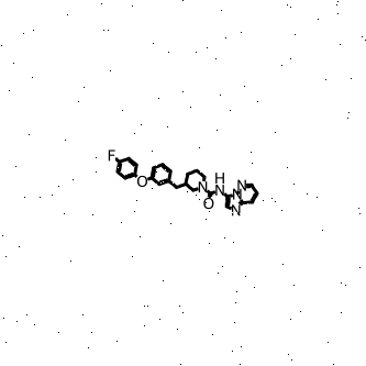 O=C(Nc1cnc2cccnn12)N1CCCC(Cc2cccc(Oc3ccc(F)cc3)c2)C1